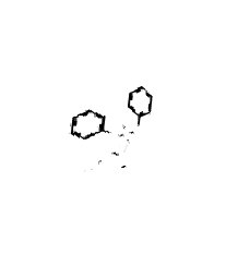 CCCCO[PH](=O)OP(=O)(Oc1ccccc1)Oc1ccccc1